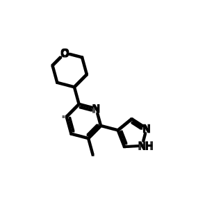 Cc1c[c]c(C2CCOCC2)nc1-c1cn[nH]c1